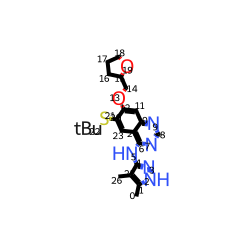 Cc1[nH]nc(Nc2ncnc3cc(OCC4CCCO4)c(SC(C)(C)C)cc23)c1C